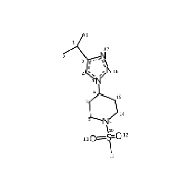 CC(C)c1cn(C2CCN(S(C)(=O)=O)CC2)nn1